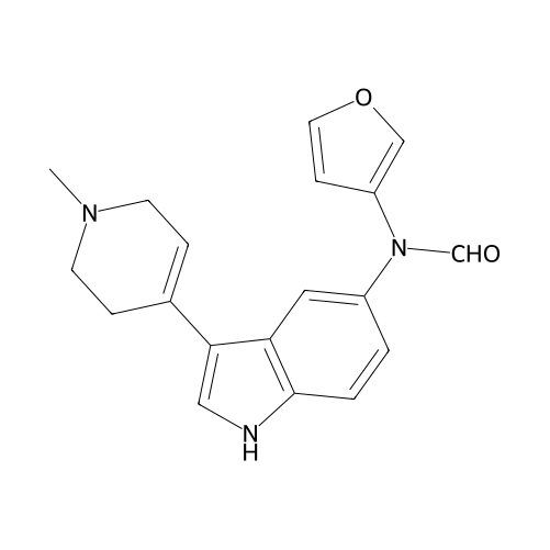 CN1CC=C(c2c[nH]c3ccc(N(C=O)c4ccoc4)cc23)CC1